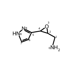 NCC1OC1c1cc[nH]n1